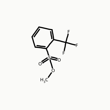 COS(=O)(=O)c1ccccc1C(F)(F)F